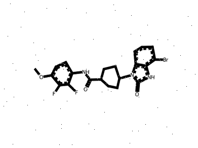 COc1ccc(NC(=O)C2CCC(n3c(=O)[nH]c4c(Br)cccc43)CC2)c(F)c1F